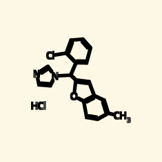 Cc1ccc2oc(C(c3ccccc3Cl)n3ccnc3)cc2c1.Cl